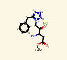 CC(C)(C)OC(=O)CC(N)C(=O)Cn1nnnc1Cc1ccccc1.Cl